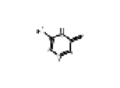 C=C1C=NC=C(C(C)(C)C)N1